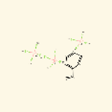 C=Cc1ccccc1.F[B-](F)(F)F.F[B-](F)(F)F.F[B-](F)(F)F